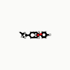 Cc1noc(C2CC3CC(=O)CC(C2)N3S(=O)(=O)c2ccc(Cl)cc2)n1